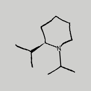 CC(C)[C@H]1CCCCN1C(C)C